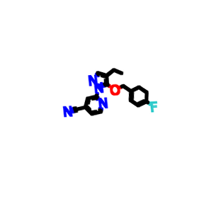 CCc1cnn(-c2cc(C#N)ccn2)c1OCC1=CC=C(F)CC1